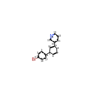 Brc1ccc(C2C=CCC(c3cccnc3)=C2)cc1